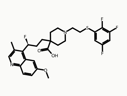 COc1ccc2ncc(C)c([C@@H](F)CCC3(C(=O)O)CCN(CCSc4cc(F)cc(F)c4F)CC3)c2c1